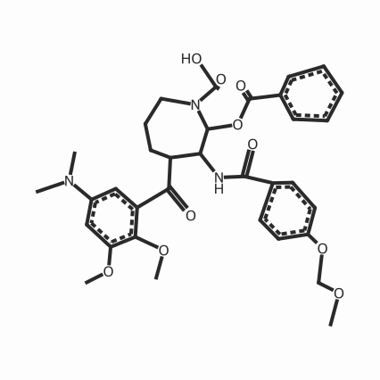 COCOc1ccc(C(=O)NC2C(C(=O)c3cc(N(C)C)cc(OC)c3OC)CCCN(C(=O)O)C2OC(=O)c2ccccc2)cc1